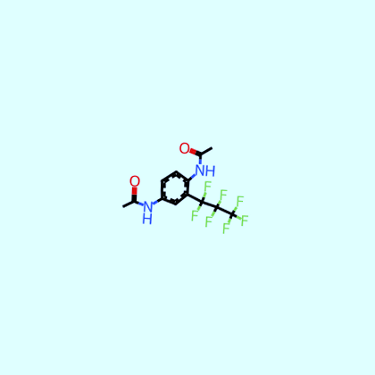 CC(=O)Nc1ccc(NC(C)=O)c(C(F)(F)C(F)(F)C(F)(F)F)c1